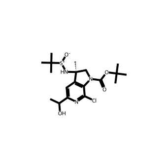 CC(O)c1cc2c(c(Cl)n1)N(C(=O)OC(C)(C)C)C[C@]2(C)N[S+]([O-])C(C)(C)C